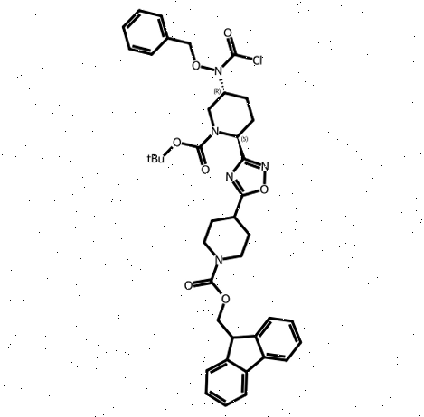 CC(C)(C)OC(=O)N1C[C@H](N(OCc2ccccc2)C(=O)Cl)CC[C@H]1c1noc(C2CCN(C(=O)OCC3c4ccccc4-c4ccccc43)CC2)n1